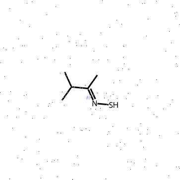 C/C(=N\S)C(C)C